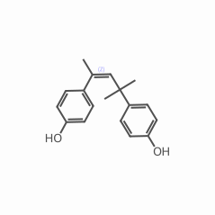 C/C(=C/C(C)(C)c1ccc(O)cc1)c1ccc(O)cc1